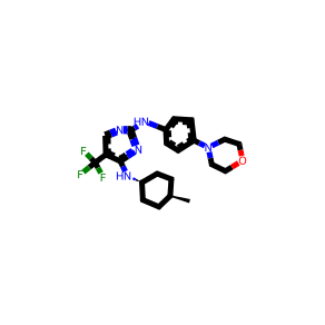 C[C@H]1CC[C@H](Nc2nc(Nc3ccc(N4CCOCC4)cc3)ncc2C(F)(F)F)CC1